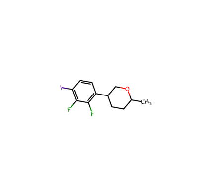 CC1CCC(c2ccc(I)c(F)c2F)CO1